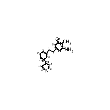 Cn1c(N)nc(CCc2cccc(-c3ccncc3)c2)cc1=O